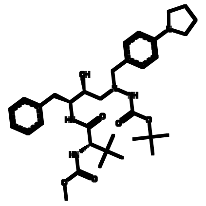 COC(=O)N[C@H](C(=O)N[C@@H](Cc1ccccc1)[C@@H](O)CN(Cc1ccc(N2CCCC2)cc1)NC(=O)OC(C)(C)C)C(C)(C)C